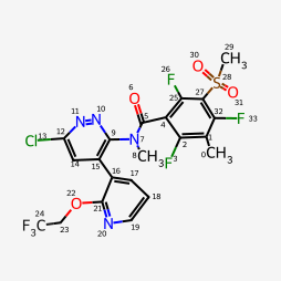 Cc1c(F)c(C(=O)N(C)c2nnc(Cl)cc2-c2cccnc2OCC(F)(F)F)c(F)c(S(C)(=O)=O)c1F